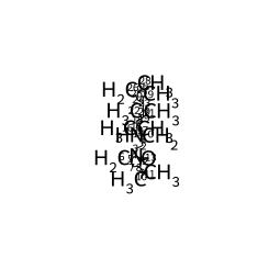 C=C(CCN1C(=C)CC(C(C)C)C1=O)NC(C)(C)CCC(C)(C)CCC(=C)C(C)C